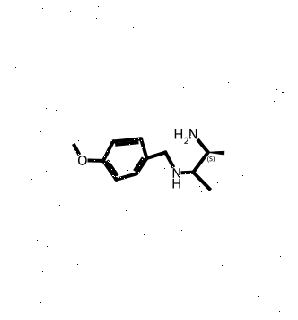 COc1ccc(CNC(C)[C@H](C)N)cc1